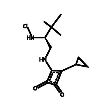 CC(C)(C)[C@@H](CNc1c(C2CC2)c(=O)c1=O)NCl